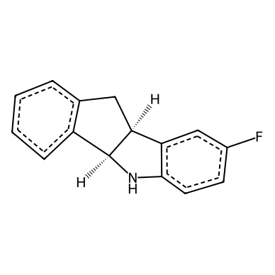 Fc1ccc2c(c1)[C@@H]1Cc3ccccc3[C@@H]1N2